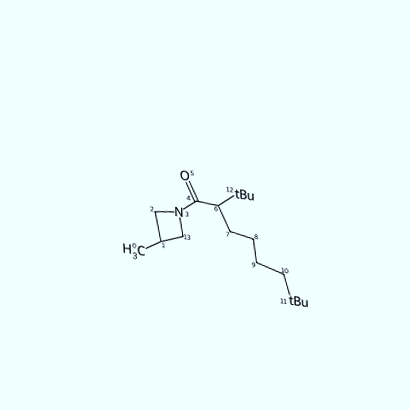 CC1CN(C(=O)C(CCCCC(C)(C)C)C(C)(C)C)C1